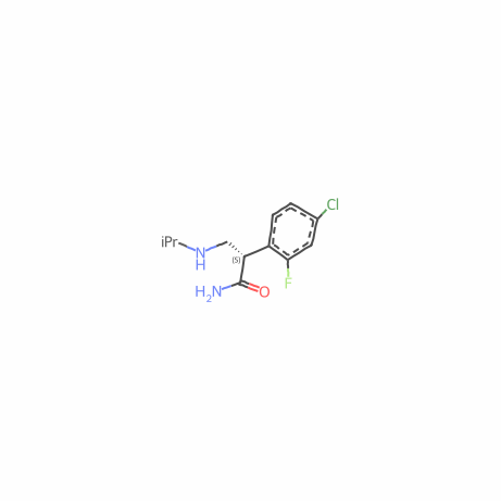 CC(C)NC[C@@H](C(N)=O)c1ccc(Cl)cc1F